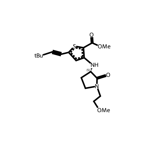 COCCN1CC[C@H](Nc2cc(C#CC(C)(C)C)sc2C(=O)OC)C1=O